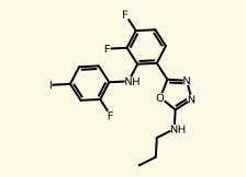 CCCNc1nnc(-c2ccc(F)c(F)c2Nc2ccc(I)cc2F)o1